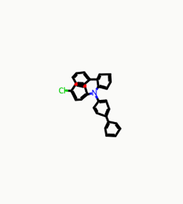 Clc1ccc(N(c2ccc(-c3ccccc3)cc2)c2ccccc2-c2ccccc2)cc1